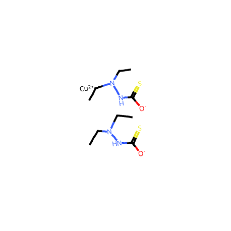 CCN(CC)NC([O-])=S.CCN(CC)NC([O-])=S.[Cu+2]